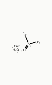 O.O=S([O-])[O-].[Ca+2]